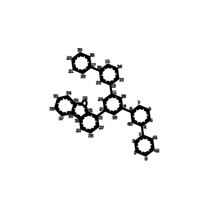 c1ccc(-c2cccc(-c3cc(-c4cccc(-c5ccccc5)c4)cc(-c4cccc5c4oc4ccccc45)c3)c2)cc1